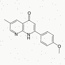 COc1ccc(-c2cc(=O)c3cc(C)cnc3[nH]2)cc1